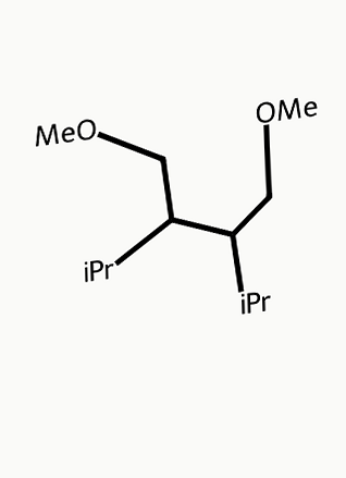 COCC(C(C)C)C(COC)C(C)C